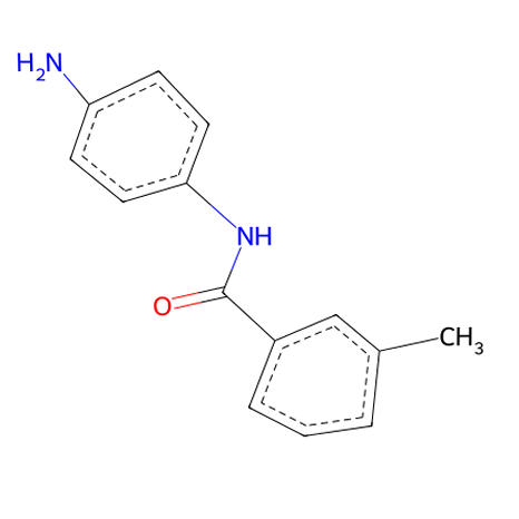 Cc1cccc(C(=O)Nc2ccc(N)cc2)c1